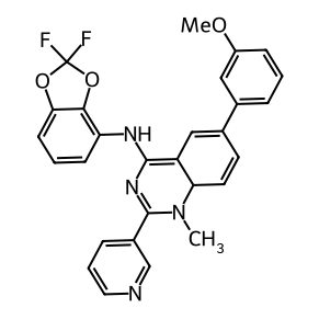 COc1cccc(C2=CC3=C(Nc4cccc5c4OC(F)(F)O5)N=C(c4cccnc4)N(C)C3C=C2)c1